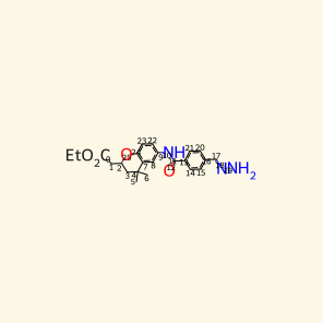 CCOC(=O)CC1CC(C)(C)c2cc(NC(=O)c3ccc(C=NN)cc3)ccc2O1